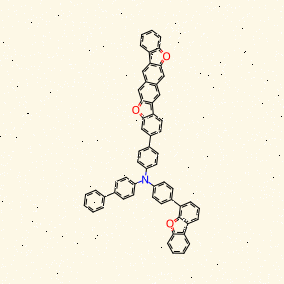 c1ccc(-c2ccc(N(c3ccc(-c4ccc5c(c4)oc4cc6cc7c(cc6cc45)oc4ccccc47)cc3)c3ccc(-c4cccc5c4oc4ccccc45)cc3)cc2)cc1